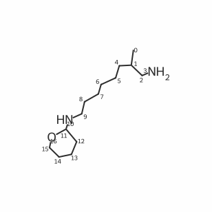 CC(CN)CCCCCCNC1CCCCO1